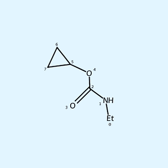 CCNC(=O)OC1CC1